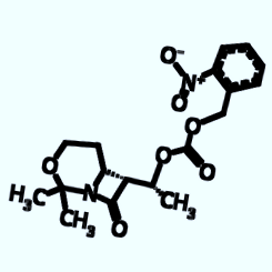 C[C@@H](OC(=O)OCc1ccccc1[N+](=O)[O-])[C@@H]1C(=O)N2C1CCOC2(C)C